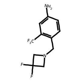 Nc1ccc(CN2CC(F)(F)C2)c(C(F)(F)F)c1